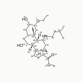 CCOC1C[C@@]2(C)C(CC[C@@H]3[C@H]2C(NCCC(C)C)C[C@]2(C)C(C(=O)OC)CC[C@@H]32)CC1O.Cl